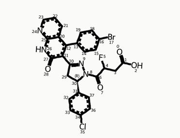 O=C(O)CC(F)C(=O)N1N=C(c2c(-c3ccc(Br)cc3)c3cccnc3[nH]c2=O)C[C@@H]1c1ccc(Cl)cc1